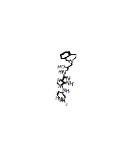 N/C=C\C(=C/N)Nc1ncnc2c(NCC(O)CN3CCc4ccccc4C3)n[nH]c12